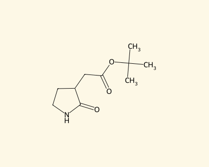 CC(C)(C)OC(=O)CC1CCNC1=O